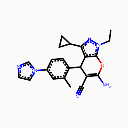 CCn1nc(C2CC2)c2c1OC(N)=C(C#N)C2c1ccc(-n2ccnc2)cc1C